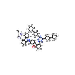 C=C/C=C(\C=C/C)c1cccc2c1c1ccccc1n2-c1ccc2c(c1)oc1cccc(-c3nc(-c4ccc(-c5ccccc5)cc4)nc(-c4ccc(-c5ccccc5)cc4)n3)c12